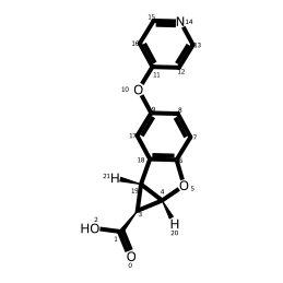 O=C(O)[C@@H]1[C@H]2Oc3ccc(Oc4ccncc4)cc3[C@H]21